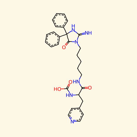 N=C1NC(c2ccccc2)(c2ccccc2)C(=O)N1CCCCCNC(=O)C(Cc1ccncc1)NC(=O)O